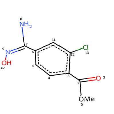 COC(=O)c1ccc(/C(N)=N\O)cc1Cl